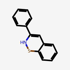 C1=C(c2ccccc2)NSc2ccccc21